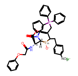 O=C(COc1ccccc1)N[C@]12C(=O)OC3=C(C[P+](c4ccccc4)(c4ccccc4)c4ccccc4)C(Cc4ccc([N+](=O)[O-])cc4)[S@+]([O-])[C@H]1N3C2=O.[Br-]